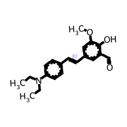 CCN(CC)c1ccc(/C=C/c2cc(C=O)c(O)c(OC)c2)cc1